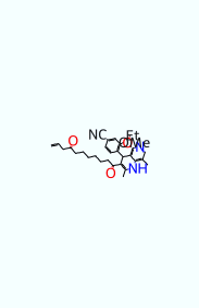 C=CCC(=O)CCCCCCC(=O)C1=C(C)Nc2c(C)cnc(OCC)c2C1c1ccc(C#N)cc1OC